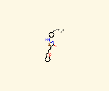 O=C(O)Cc1ccc(NC2=NC(=O)C(=CCc3cc4ccccc4o3)S2)cc1